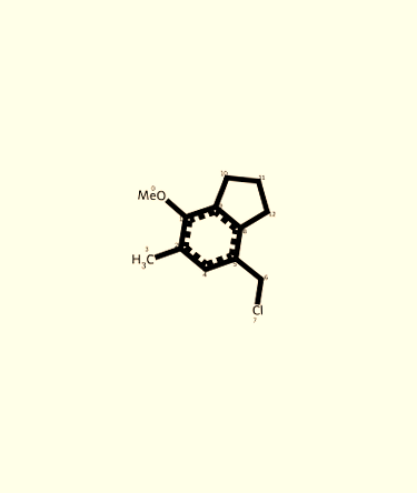 COc1c(C)cc(CCl)c2c1CCC2